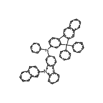 c1ccc(N(c2ccc3c(c2)C(c2ccccc2)(c2ccccc2)c2cc4ccccc4cc2-3)c2ccc3c4ccccc4n(-c4ccc5ccccc5c4)c3c2)cc1